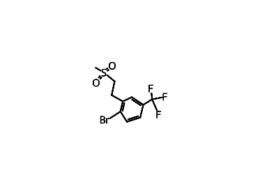 CS(=O)(=O)CCc1cc(C(F)(F)F)ccc1Br